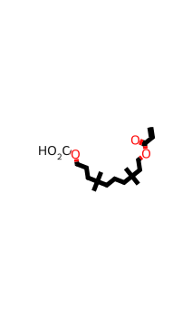 C=CC(=O)OCCC(C)(C)CCCC(C)(C)CCCOC(=O)O